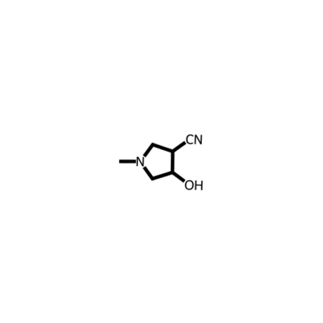 CN1CC(O)C(C#N)C1